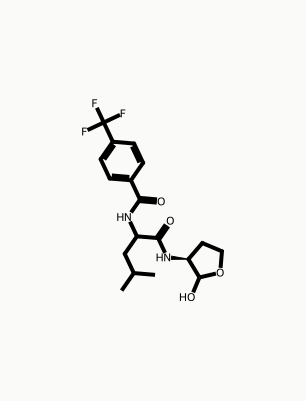 CC(C)CC(NC(=O)c1ccc(C(F)(F)F)cc1)C(=O)N[C@H]1CCOC1O